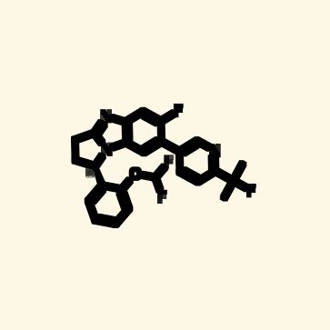 CC(C)(F)c1ccc(-c2cc3c(cc2F)nc2n3[C@@H](c3ccccc3OC(F)F)CC2)cn1